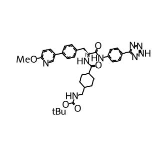 COc1ccc(-c2ccc(C[C@H](NC(=O)C3CCC(CNC(=O)OC(C)(C)C)CC3)C(=O)Nc3ccc(-c4nn[nH]n4)cc3)cc2)cn1